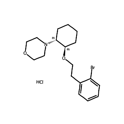 Brc1ccccc1CCO[C@@H]1CCCC[C@H]1N1CCOCC1.Cl